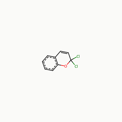 ClC1(Cl)C=Cc2ccccc2O1